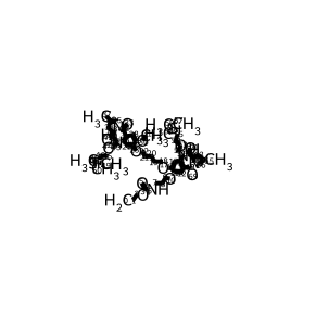 C=CCOC(=O)NCCCOc1cc2c(cc1OCCCCCOc1cc3c(cc1OC)C(=O)N1C=C(C)C[C@H]1C(=O)N3COCC[Si](C)(C)C)N(COCC[Si](C)(C)C)C(=O)[C@@H]1CC(C)=CN1C2=O